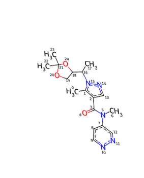 Cc1c(C(=O)N(C)c2ccnnc2)cnn1C(C)C1COC(C)(C)O1